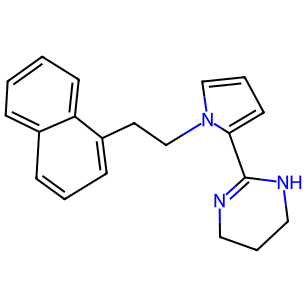 c1ccc2c(CCn3cccc3C3=NCCCN3)cccc2c1